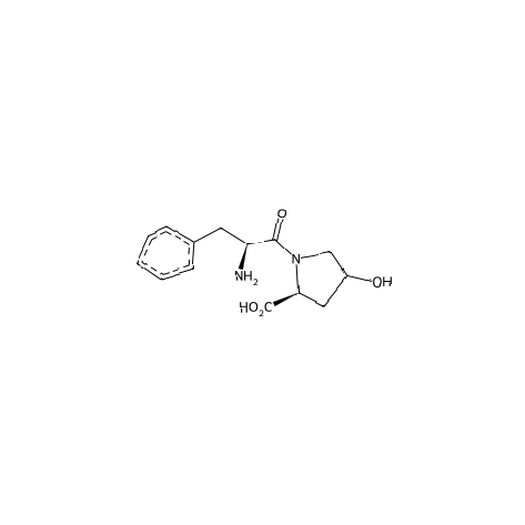 N[C@@H](Cc1ccccc1)C(=O)N1CC(O)C[C@H]1C(=O)O